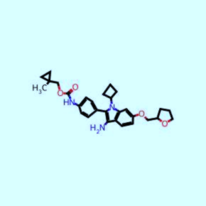 CC1(COC(=O)Nc2ccc(-c3c(N)c4ccc(OCC5CCCO5)cc4n3C3CCC3)cc2)CC1